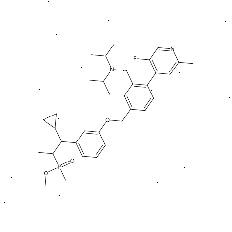 COP(C)(=O)C(C)C(c1cccc(OCc2ccc(-c3cc(C)ncc3F)c(CN(C(C)C)C(C)C)c2)c1)C1CC1